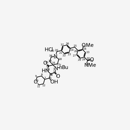 CCCCN1C(=O)[C@@H](C(O)C2CCOCC2)NC(=O)C12CCN(Cc1ccc(Cc3ccc(C(=O)NC)cc3OC)cc1)CC2.Cl